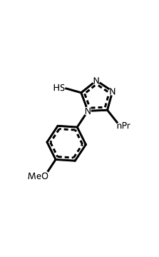 CCCc1nnc(S)n1-c1ccc(OC)cc1